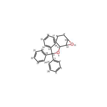 c1ccc(C(OC2CCCC3OC32)(c2ccccc2)c2ccccc2)cc1